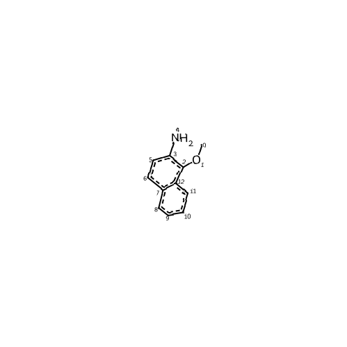 COc1c(N)ccc2ccccc12